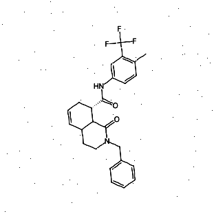 Cc1ccc(NC(=O)[C@H]2CC=CC3CCN(Cc4ccccc4)C(=O)C32)cc1C(F)(F)F